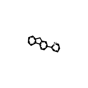 c1ccc(-c2ccc3c(c2)Cc2ccccc2-3)nc1